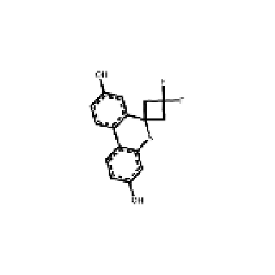 Oc1ccc2c(c1)SC1(CC(F)(F)C1)c1cc(O)ccc1-2